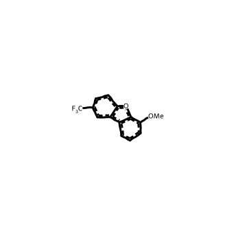 COc1cccc2c1oc1ccc(C(F)(F)F)cc12